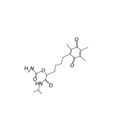 CC1=C(C)C(=O)C(CCCCC(OC(N)=O)C(=O)NC(C)C)=C(C)C1=O